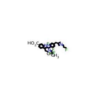 CC1Cc2c([nH]c3cc(C(=O)O)ccc23)C(c2c(F)cc(CC3CN(CCCF)C3)cc2F)N1CC(C)(F)F